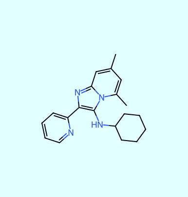 Cc1cc(C)n2c(NC3CCCCC3)c(-c3ccccn3)nc2c1